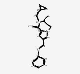 CC1Cn2nc(COc3ccccc3)cc2C(=O)N1CC1CC1